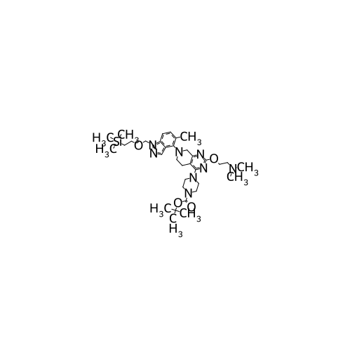 Cc1ccc2c(cnn2COCC[Si](C)(C)C)c1N1CCc2c(nc(OCCN(C)C)nc2N2CCN(C(=O)OC(C)(C)C)CC2)C1